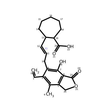 C=Cc1c(C)c2c(c(O)c1C/C=C/C1CCCCCC1C(=O)O)C(=O)OC2